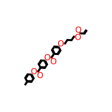 C=CC(=O)OCCCCOc1ccc(C(=O)Oc2ccc(C(=O)Oc3ccc(C)cc3)cc2)cc1